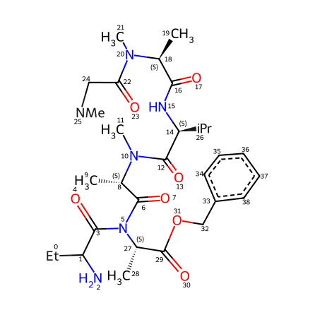 CCC(N)C(=O)N(C(=O)[C@H](C)N(C)C(=O)[C@@H](NC(=O)[C@H](C)N(C)C(=O)CNC)C(C)C)[C@@H](C)C(=O)OCc1ccccc1